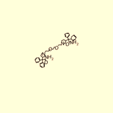 NC(=O)C(c1ccccc1)(c1ccccc1)C1CCN(CCOCCOCCN2CCC(C(C(N)=O)(c3ccccc3)C3C=CC=CC3)C2)C1